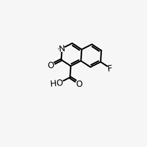 O=C(O)C1=c2cc(F)ccc2=C[N]C1=O